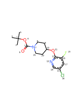 CC(C)(C)OC(=O)N1CCC(Oc2ncc(Cl)cc2F)CC1